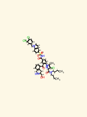 CCCCN(CCCC)C(=O)c1nn(-c2ccc(C(=O)NS(=O)(=O)c3ccc4c(ccn4Cc4ccc(Cl)c(Cl)c4)c3)cc2C(=O)c2cccc3c2CC(CO)NC3)c(C)c1Cl